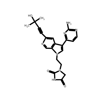 CC(C)(O)C#Cc1cc2c(-c3ccnc(N)n3)cn(CCN3CC(=O)NC3=O)c2cn1